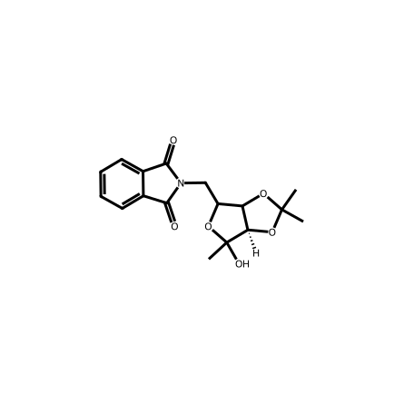 CC1(C)OC2C(CN3C(=O)c4ccccc4C3=O)OC(C)(O)[C@@H]2O1